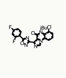 CCC(C)n1c(=O)c2c(-c3noc(-c4ccc(F)cc4F)n3)ncn2c2cccc(Cl)c21